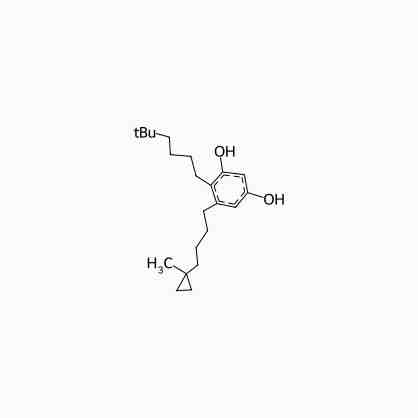 CC(C)(C)CCCCc1c(O)cc(O)cc1CCCCC1(C)CC1